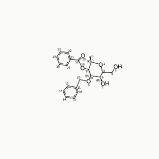 C[C@H]1OC(CO)[C@@H](O)[C@@H](OCc2ccccc2)C1OC(=O)c1ccccc1